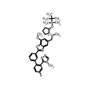 COc1cc(CN(C)[C@@H]2CCCC2O[Si](C)(C)C(C)(C)C)cc2nc(-c3cccc(-c4ccc(F)cc4-c4nncn4C)c3)oc12